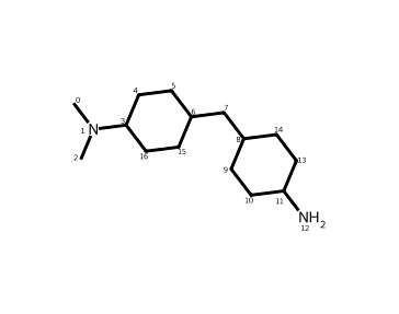 CN(C)C1CCC(CC2CCC(N)CC2)CC1